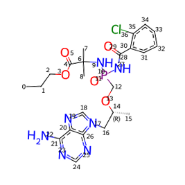 CCCOC(=O)C(C)(C)NP(=O)(CO[C@H](C)Cn1cnc2c(N)ncnc21)NC(=O)c1ccccc1Cl